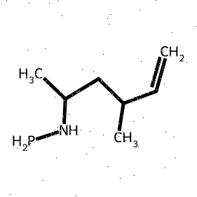 C=CC(C)CC(C)NP